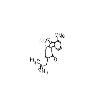 COc1cccc2c3c(n(C)c12)SCC(CN(C)C)C3=O